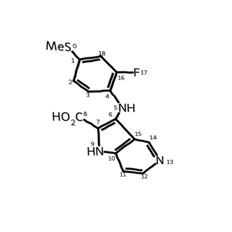 CSc1ccc(Nc2c(C(=O)O)[nH]c3ccncc23)c(F)c1